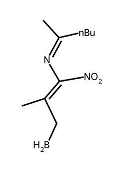 BC/C(C)=C(/N=C(/C)CCCC)[N+](=O)[O-]